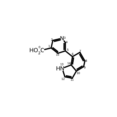 O=C(O)c1cncc(-c2cccc3cc[nH]c23)c1